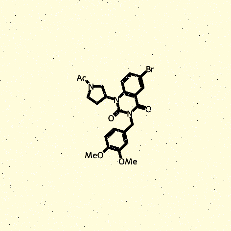 COc1ccc(Cn2c(=O)c3cc(Br)ccc3n(C3CCN(C(C)=O)C3)c2=O)cc1OC